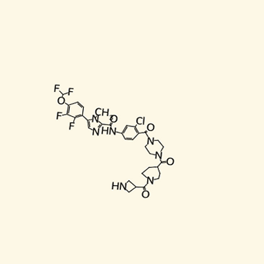 Cn1c(-c2ccc(OC(F)F)c(F)c2F)cnc1C(=O)Nc1ccc(C(=O)N2CCN(C(=O)C3CCN(C(=O)C4CNC4)CC3)CC2)c(Cl)c1